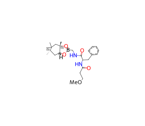 COCCC(=O)NC(Cc1ccccc1)C(=O)NCB1O[C@@H]2C[C@H](C)C(C)(C)C[C@]2(C)O1